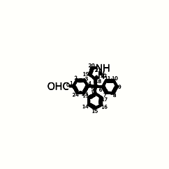 O=Cc1ccc(C(c2ccccc2)(c2ccccc2)c2cc[nH]n2)cc1